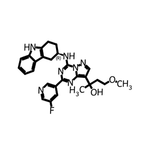 COCCC(C)(O)c1cnn2c(N[C@@H]3CCc4[nH]c5ccccc5c4C3)nc(-c3cncc(F)c3)nc12